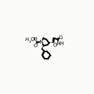 COC(=O)N1CC[C@H](c2cc(=O)[nH]o2)C[C@H]1CC1CCCCC1